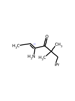 C/C=C(\N)C(=O)C(C)(C)CC(C)C